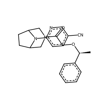 C[C@H](OCC(=O)N1CC2CCC(C1)N2c1ccc(C#N)cn1)c1ccccc1